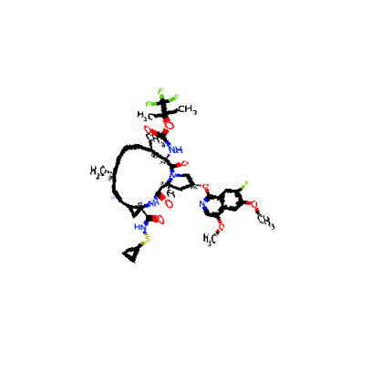 COc1cc2c(OC)cnc(O[C@@H]3C[C@H]4C(=O)N[C@]5(C(=O)NSC6CC6)CC5/C=C\[C@H](C)CCC[C@@H](C)[C@H](NC(=O)OC(C)(C)C(F)(F)F)C(=O)N4C3)c2cc1F